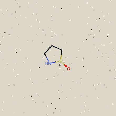 [O-][S@+]1CCCN1